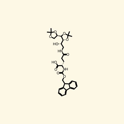 CC1(C)OC[C@H](C2OC(C)(C)O[C@@H]2[C@@H](O)CNC(=O)CC[C@H](NC(=O)OCC2c3ccccc3-c3ccccc32)C(=O)O)O1